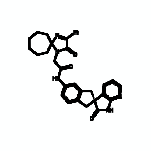 CCC1=NC2(CCCCCC2)N(CC(=O)Nc2ccc3c(c2)C[C@@]2(C3)C(=O)Nc3ncccc32)C1=O